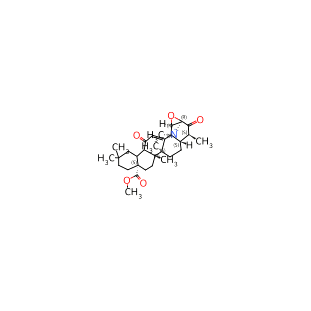 COC(=O)[C@]12CCC(C)(C)CC1C1C(=O)C=C3[C@@]4(C)[C@H]5O[C@@]5(C#N)C(=O)[C@@H](C)[C@@H]4CC[C@@]3(C)[C@]1(C)CC2